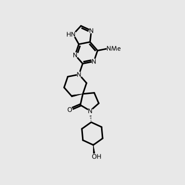 CNc1nc(N2CCC[C@]3(CCN([C@H]4CC[C@H](O)CC4)C3=O)C2)nc2[nH]cnc12